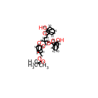 CC(C)(C)C(=O)OCC12CC3CC(C1)C1(OCC(CCC(=O)C45CC6CC(CC(O)(C6)C4)C5)(COC(=O)C45CC6CC(CC(O)(C6)C4)C5)CO1)C(C3)C2